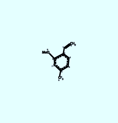 C=Cc1ccc(C(F)(F)F)nc1OC